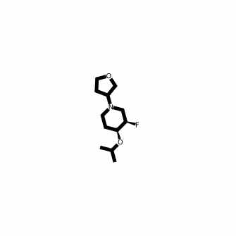 CC(C)O[C@H]1CCN(C2CCOC2)C[C@H]1F